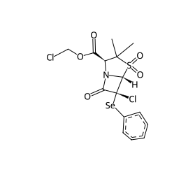 CC1(C)[C@H](C(=O)OCCl)N2C(=O)[C@@](Cl)([Se]c3ccccc3)[C@H]2S1(=O)=O